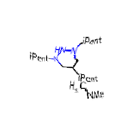 CCCC(C)C1CN(C(C)CCC)NN(C(C)CCC)C1.CNC